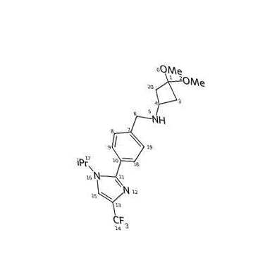 COC1(OC)CC(NCc2ccc(-c3nc(C(F)(F)F)cn3C(C)C)cc2)C1